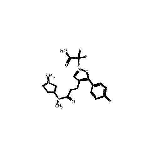 CN1CCC(N(C)C(=O)CCc2cnoc2-c2ccc(F)cc2)C1.O=C(O)C(F)(F)F